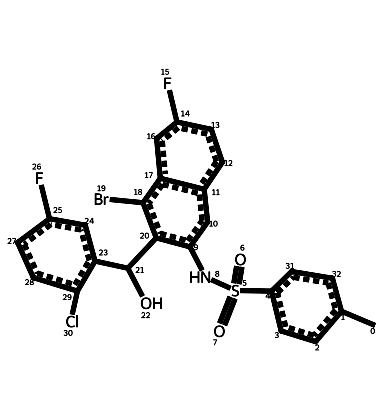 Cc1ccc(S(=O)(=O)Nc2cc3ccc(F)cc3c(Br)c2C(O)c2cc(F)ccc2Cl)cc1